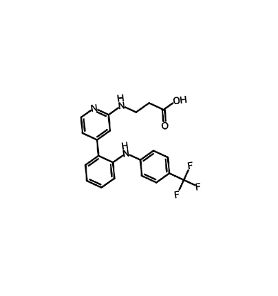 O=C(O)CCNc1cc(-c2ccccc2Nc2ccc(C(F)(F)F)cc2)ccn1